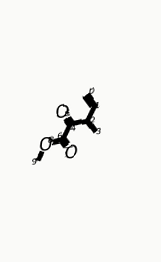 C=CC(C)C(=O)C(=O)OC